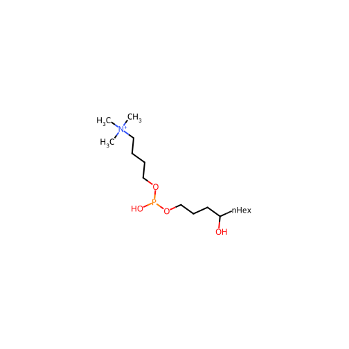 CCCCCCC(O)CCCOP(O)OCCCC[N+](C)(C)C